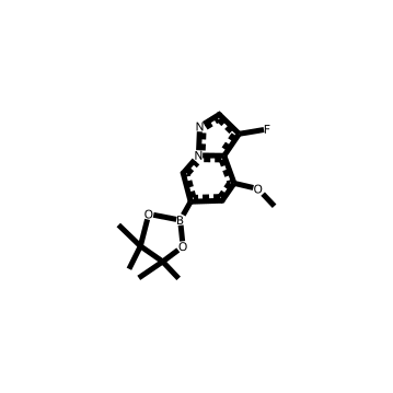 COc1cc(B2OC(C)(C)C(C)(C)O2)cn2ncc(F)c12